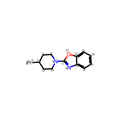 CC(C)C1CCN(c2nc3ccccc3o2)CC1